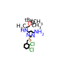 C[C@H](CO[Si](C)(C)C(C)(C)C)Nc1cc(N)nc(SCc2cccc(Cl)c2Cl)n1